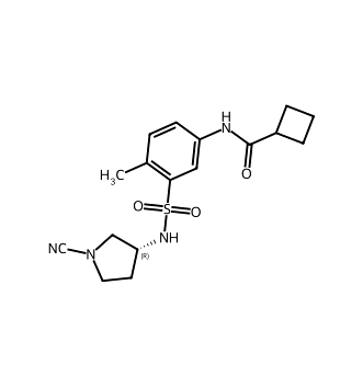 Cc1ccc(NC(=O)C2CCC2)cc1S(=O)(=O)N[C@@H]1CCN(C#N)C1